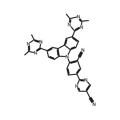 Cc1nc(C)nc(-c2ccc3c(c2)c2cc(-c4nc(C)nc(C)n4)ccc2n3-c2ccc(-c3ncc(C#N)cn3)cc2C#N)n1